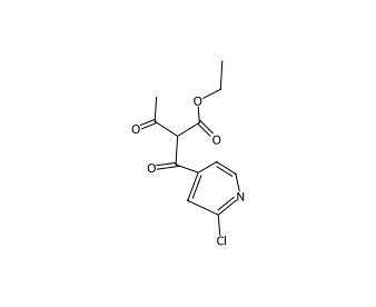 CCOC(=O)C(C(C)=O)C(=O)c1ccnc(Cl)c1